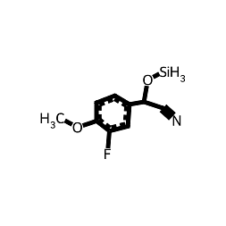 COc1ccc(C(C#N)O[SiH3])cc1F